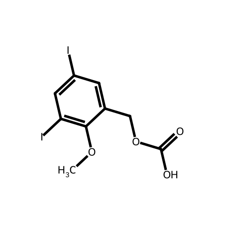 COc1c(I)cc(I)cc1COC(=O)O